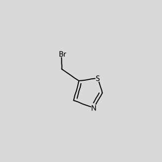 BrCc1cncs1